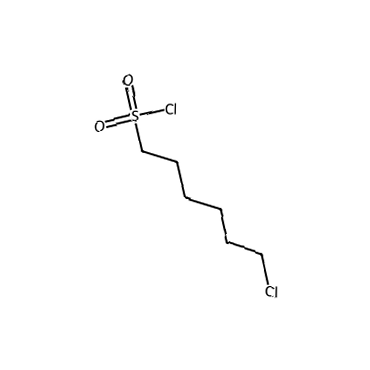 O=S(=O)(Cl)CCCCCCCl